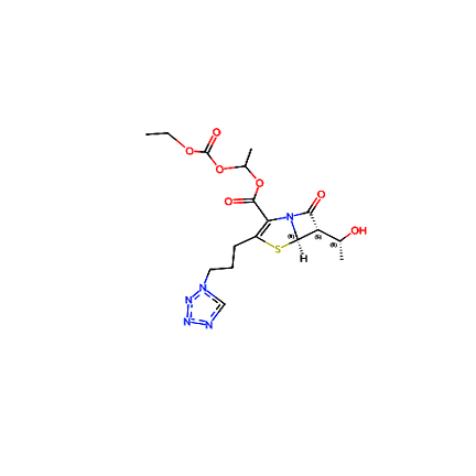 CCOC(=O)OC(C)OC(=O)C1=C(CCCn2cnnn2)S[C@@H]2[C@@H]([C@@H](C)O)C(=O)N12